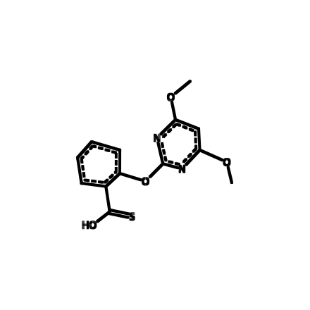 COc1cc(OC)nc(Oc2ccccc2C(O)=S)n1